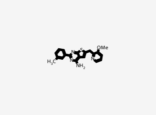 COc1cccnc1Cc1cc2c(N)nc(-c3cccc(C)c3)nc2s1